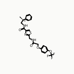 C[C@H](CNC(=O)c1csc(CNC(=O)COc2ccc(OC(F)(F)F)cc2)n1)c1ccccc1